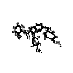 Cc1ccc(Nc2ncc3nc(Nc4ccccc4F)n([C@H]4CC[C@H](O)CC4)c3n2)cc1